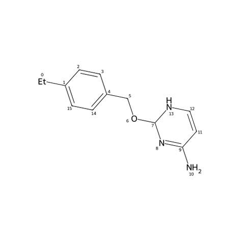 CCc1ccc(COC2N=C(N)C=CN2)cc1